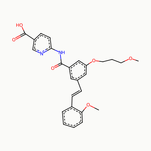 COCCCOc1cc(/C=C/c2ccccc2OC)cc(C(=O)Nc2ccc(C(=O)O)cn2)c1